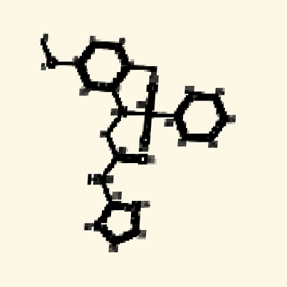 COc1ccc(C)c(N(CC(=O)Nc2nccs2)S(=O)(=O)c2ccccc2)c1